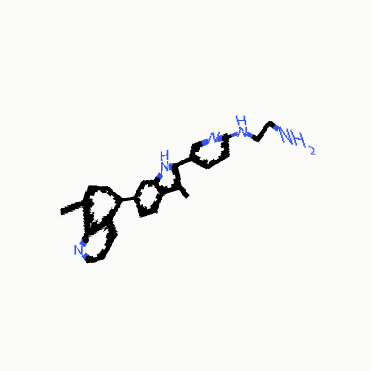 Cc1c(-c2ccc(NCCN)nc2)[nH]c2cc(-c3ccc(C)c4ncccc34)ccc12